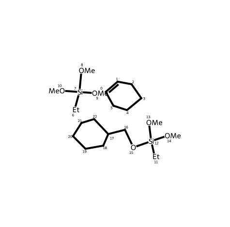 C1=CCCCC1.CC[Si](OC)(OC)OC.CC[Si](OC)(OC)OCC1CCCCC1